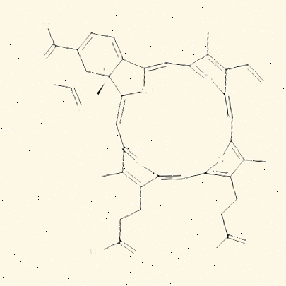 C=CC1=C(C)c2cc3[nH]c(cc4nc(cc5[nH]c(cc1n2)c(C)c5CCC(=O)O)C(CCC(=O)O)=C4C)[C@@]1(C)C3=CC=C(C(=O)O)[C@H]1C(=O)O